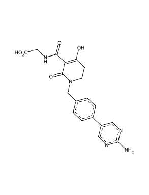 Nc1ncc(-c2ccc(CN3CCC(O)=C(C(=O)NCC(=O)O)C3=O)cc2)cn1